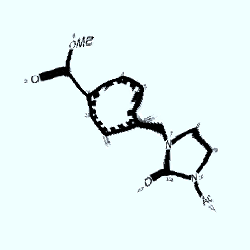 COC(=O)c1ccc(N2CCN(C(C)=O)C2=O)cc1